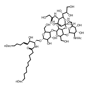 CCCCCCCCCCCCC/C=C/[C@@H](O)[C@H](CO[C@@H]1OC(CO)[C@@H](O[C@@H]2OC(CO)[C@H](O[C@@H]3OC(CO)[C@H](O)[C@H](O)C3NC(C)=O)[C@H](O[C@]3(C(=O)O)CC(O)[C@@H](NC(=O)CO)C([C@H](O)[C@H](O)CO)O3)C2O)[C@H](O)C1O)NC(=O)CCCCCCCCCCCCCCCCCCC